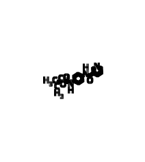 CC(C)(C)OC(=O)NC1CCC(NC(=O)c2cccnc2)CC1